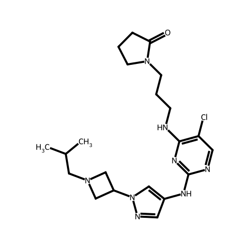 CC(C)CN1CC(n2cc(Nc3ncc(Cl)c(NCCCN4CCCC4=O)n3)cn2)C1